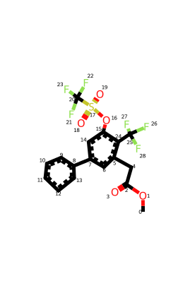 COC(=O)Cc1cc(-c2ccccc2)cc(OS(=O)(=O)C(F)(F)F)c1C(F)(F)F